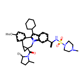 C=C(NS(=O)(=O)N1CCN(C)CC1)c1ccc2c(C3CCCCC3)c3n(c2c1)CC1(C(=O)N2C(C)CCC2CC)CC1c1cc(OC)ccc1-3